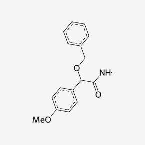 COc1ccc(C(OCc2ccccc2)C([NH])=O)cc1